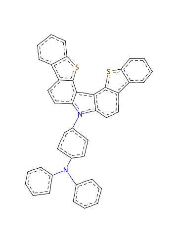 c1ccc(N(c2ccccc2)c2ccc(-n3c4ccc5c6ccccc6sc5c4c4c5sc6ccccc6c5ccc43)cc2)cc1